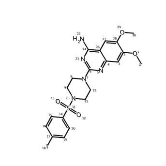 COc1cc2nc(N3CCN(S(=O)(=O)c4ccc(I)cc4)CC3)nc(N)c2cc1OC